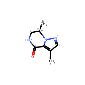 Cc1cnn2c1C(=O)NC[C@H]2C